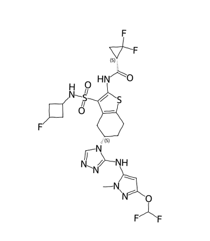 Cn1nc(OC(F)F)cc1Nc1nncn1[C@H]1CCc2sc(NC(=O)[C@@H]3CC3(F)F)c(S(=O)(=O)NC3CC(F)C3)c2C1